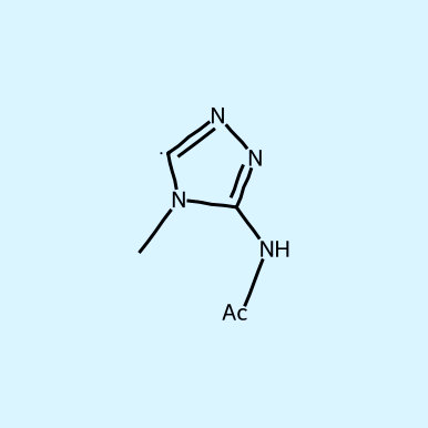 CC(=O)Nc1nn[c]n1C